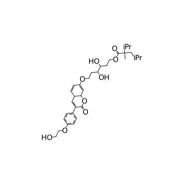 CC(C)CC(C)(C(=O)OCCC(O)C(O)CCOC1=CC2OC(=O)C(c3ccc(OCCO)cc3)=CC2C=C1)C(C)C